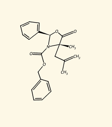 C=C(C)C[C@@]1(C)C(=O)O[C@H](c2ccccc2)N1C(=O)OCc1ccccc1